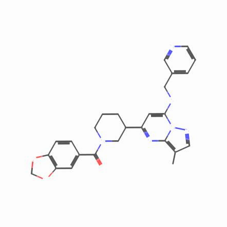 Bc1cnn2c(NCc3cccnc3)cc(C3CCCN(C(=O)c4ccc5c(c4)OCO5)C3)nc12